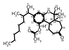 CCCCCCC(C)C(C)c1cc(OC(C)=O)c2c(c1)OC(C)(C)[C@@H]1CCC(=O)CC[C@@H]21